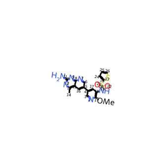 COc1ncc(-c2cnc3nc(N)nc(C)c3c2)cc1NS(=O)(=O)c1cccs1